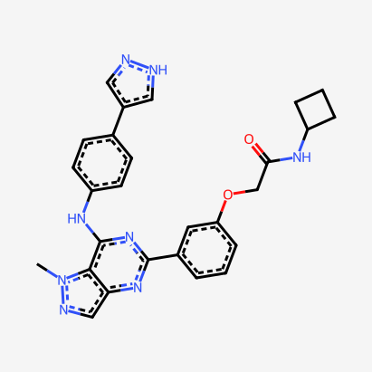 Cn1ncc2nc(-c3cccc(OCC(=O)NC4CCC4)c3)nc(Nc3ccc(-c4cn[nH]c4)cc3)c21